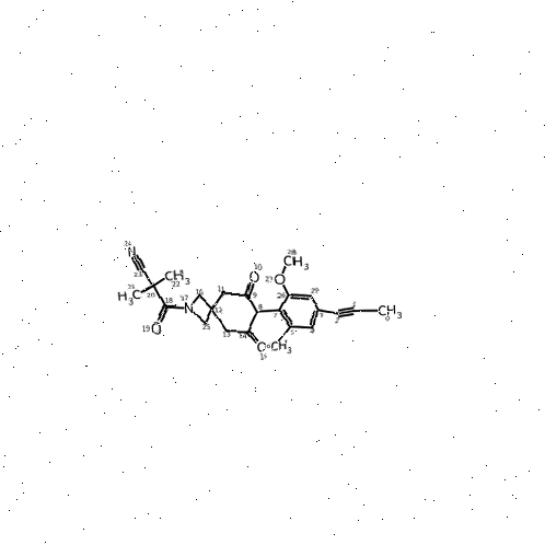 CC#Cc1cc(C)c(C2C(=O)CC3(CC2=O)CN(C(=O)C(C)(C)C#N)C3)c(OC)c1